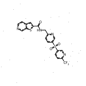 O=C(NCc1ccc(S(=O)(=O)c2ccc(C(F)(F)F)nc2)cn1)c1cc2ccncc2s1